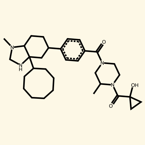 CC1CN(C(=O)c2ccc(C3CCC4N(C)CNC4(C4CCCCCCC4)C3)cc2)CCN1C(=O)C1(O)CC1